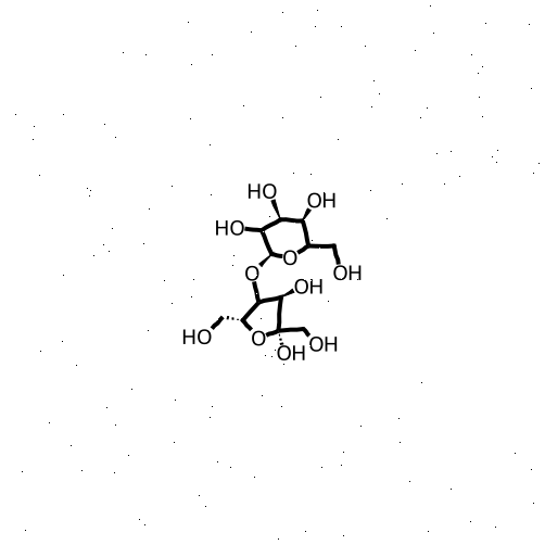 OCC1O[C@@H](OC2[C@@H](O)[C@@](O)(CO)O[C@@H]2CO)C(O)[C@@H](O)[C@H]1O